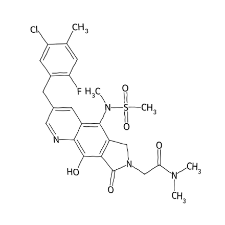 Cc1cc(F)c(Cc2cnc3c(O)c4c(c(N(C)S(C)(=O)=O)c3c2)CN(CC(=O)N(C)C)C4=O)cc1Cl